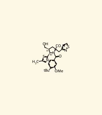 COc1cc(C(=O)N2[C@@H](c3ncc(C)s3)[C@@H](CO)C[C@@]2(Cc2ccsn2)C(=O)O)ccc1C(C)(C)C